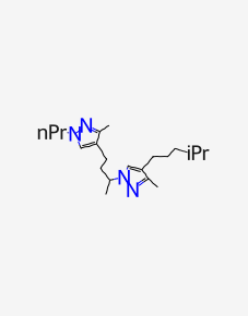 CCCn1cc(CCC(C)n2cc(CCCC(C)C)c(C)n2)c(C)n1